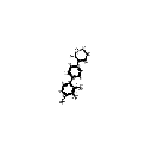 Fc1ccc(-c2ccc(C3CCCOC3)cc2)c(F)c1F